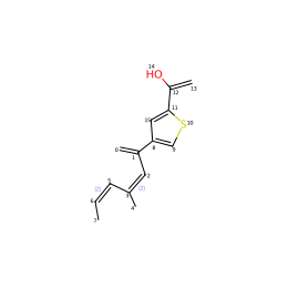 C=C(/C=C(C)\C=C/C)c1csc(C(=C)O)c1